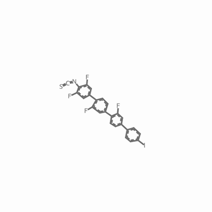 Fc1cc(-c2ccc(I)cc2)ccc1-c1ccc(-c2cc(F)c(N=C=S)c(F)c2)c(F)c1